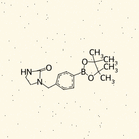 CC1(C)OB(c2ccc(CN3CCNC3=O)cc2)OC1(C)C